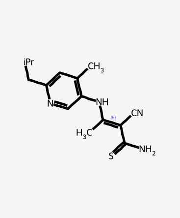 C/C(Nc1cnc(CC(C)C)cc1C)=C(/C#N)C(N)=S